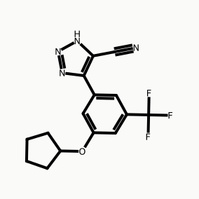 N#Cc1[nH]nnc1-c1cc(OC2CCCC2)cc(C(F)(F)F)c1